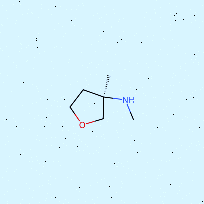 CN[C@]1(C)CCOC1